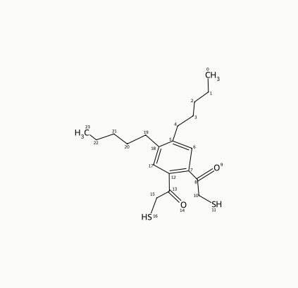 CCCCCc1cc(C(=O)CS)c(C(=O)CS)cc1CCCCC